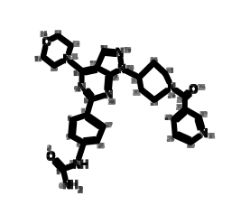 NC(=O)Nc1ccc(-c2nc(N3CCOCC3)c3cnn(C4CCN(C(=O)c5cccnc5)CC4)c3n2)cc1